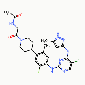 CC(=O)NCC(=O)N1CCC(c2cc(F)c(Nc3ncc(Cl)c(Nc4cc(C)[nH]n4)n3)cc2C)CC1